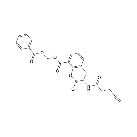 C#CCCC(=O)N[C@H]1Cc2cccc(C(=O)OCOC(=O)c3ccccc3)c2OB1O